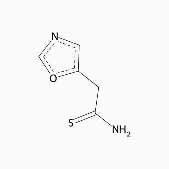 NC(=S)Cc1cnco1